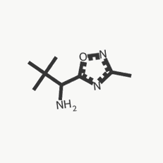 Cc1noc(C(N)C(C)(C)C)n1